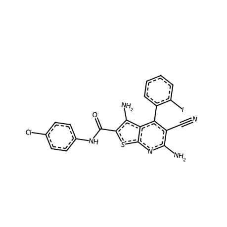 N#Cc1c(N)nc2sc(C(=O)Nc3ccc(Cl)cc3)c(N)c2c1-c1ccccc1I